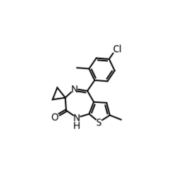 Cc1cc2c(s1)NC(=O)C1(CC1)N=C2c1ccc(Cl)cc1C